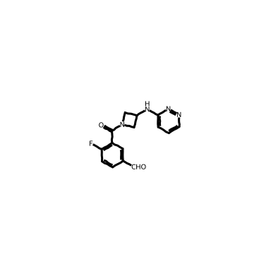 O=Cc1ccc(F)c(C(=O)N2CC(Nc3cccnn3)C2)c1